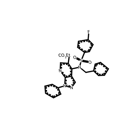 CCOC(=O)c1cnc2c(cnn2-c2ccccc2)c1N(Cc1ccccc1)S(=O)(=O)c1ccc(F)cc1